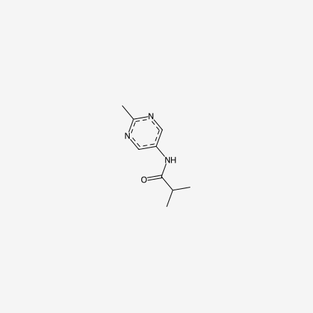 Cc1ncc(NC(=O)C(C)C)cn1